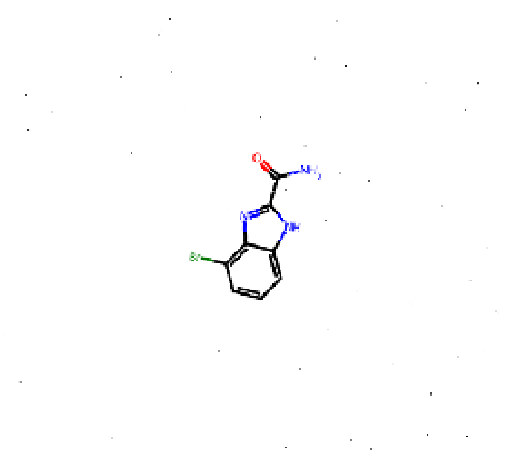 NC(=O)c1nc2c(Br)cccc2[nH]1